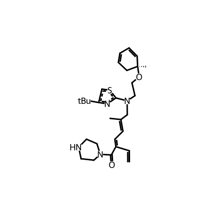 C=C/C(=C\C=C(/C)CN(CCO[C@]1(C)C=CC=CC1)c1nc(C(C)(C)C)cs1)C(=O)N1CCNCC1